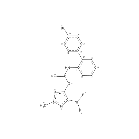 Cc1nc(C(F)F)c(OC(=O)Nc2ccccc2-c2ccc(Br)cc2)s1